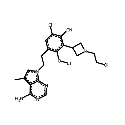 CCOc1c(CCn2cc(C)c3c(N)ncnc32)cc(Cl)c(C#N)c1C1CN(CCO)C1